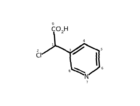 O=C(O)C(Cl)c1cccnc1